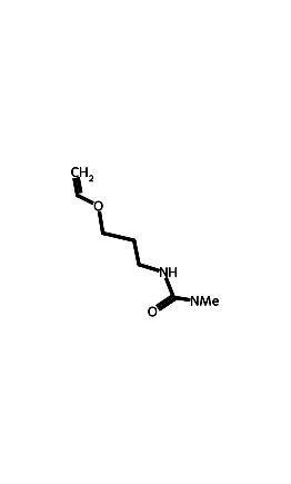 C=COCCCNC(=O)NC